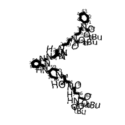 CC(C)(C)OC(=O)N[C@@H](CCC(=O)NC[C@@H](O)CN1CCC(Nc2nc(NCc3cn(CCCN(CCCN(C(=O)OC(C)(C)C)C4CCCCC4)C(=O)OC(C)(C)C)nn3)nc3ccccc23)CC1)C(=O)OC(C)(C)C